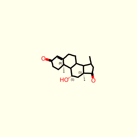 CC1CC(=O)[C@@]2(C)C[C@H](O)C3C(CCC4=CC(=O)CC[C@@]43C)C12